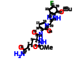 COC(=O)N[C@@H](CC/C=C/C(N)=O)C(=O)Nc1cccn(Cc2nc3c([nH]2)C(OC(C)(C)C)CC(F)=C3)c1=O